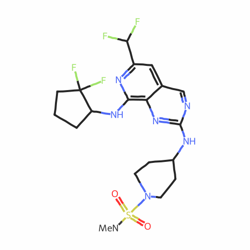 CNS(=O)(=O)N1CCC(Nc2ncc3cc(C(F)F)nc(NC4CCCC4(F)F)c3n2)CC1